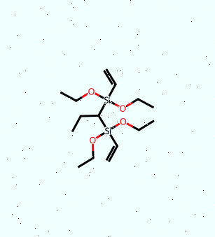 C=C[Si](OCC)(OCC)C(CC)[Si](C=C)(OCC)OCC